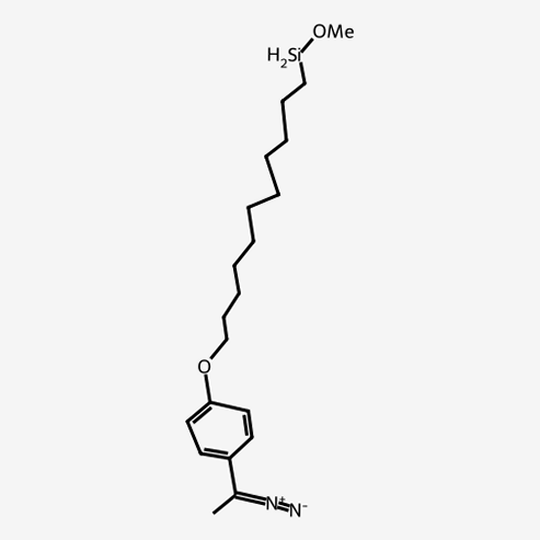 CO[SiH2]CCCCCCCCCCCOc1ccc(C(C)=[N+]=[N-])cc1